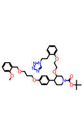 COc1ccccc1COCCCOc1ccc(C2CCN(C(=O)OC(C)(C)C)CC2OCCOc2ccccc2CCn2cnnn2)cc1